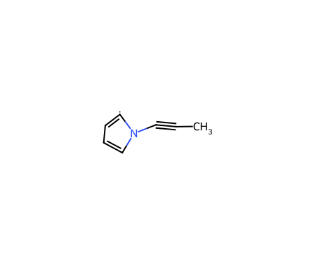 CC#Cn1[c]ccc1